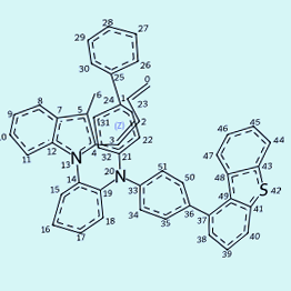 C=C/C=C\c1c(C)c2ccccc2n1-c1ccccc1N(c1ccc(-c2ccccc2)cc1)c1ccc(-c2cccc3sc4ccccc4c23)cc1